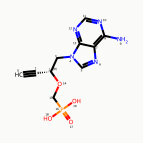 C#C[C@H](Cn1cnc2c(N)ncnc21)OCP(=O)(O)O